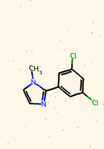 Cn1ccnc1-c1cc(Cl)cc(Cl)c1